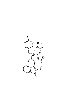 Cn1c2c(c3ccccc31)C(C(=O)NCc1ccc(F)cc1)N(c1ccc3c(c1)OCO3)C(=O)CS2